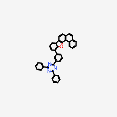 c1ccc(-c2nc(-c3ccccc3)nc(-c3cccc(-c4cccc5c4oc4c5ccc5ccc6ccccc6c54)c3)n2)cc1